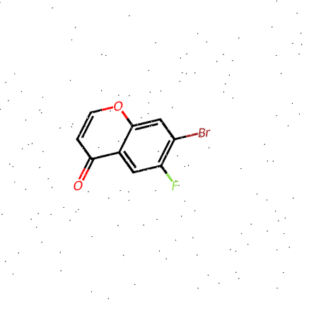 O=c1ccoc2cc(Br)c(F)cc12